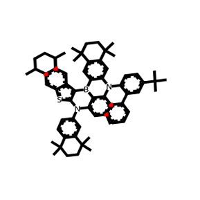 Cc1cc2c3c(c1)N(c1ccc4c(c1)C(C)(C)CCC4(C)C)c1sc4cc5c(cc4c1B3c1cc3c(cc1N2c1ccc(C(C)(C)C)cc1-c1ccccc1)C(C)(C)CCC3(C)C)C1(C)CCC5(C)CC1